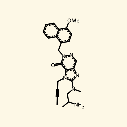 CC#CCn1c(N(C)CC(C)N)nc2cnn(Cc3ccc(OC)c4ccccc34)c(=O)c21